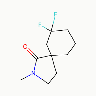 CN1CCC2(CCCC(F)(F)C2)C1=O